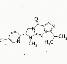 CC(C)c1ncc2c(=O)n3c(nn12)N(C)C(c1ccc(Cl)cn1)C3